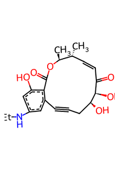 CCNc1cc(O)c2c(c1)C#CC[C@H](O)[C@H](O)C(=O)/C=C\[C@@H](C)[C@H](C)OC2=O